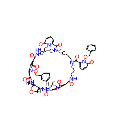 Cn1c(C(=O)N2CCCCN(C(=O)c3cccc(=O)n3OCc3ccccc3)CCCNC(=O)c3ccc(n(C)c3=O)C(=O)N[C@@H]3COC[C@@H]3NC(=O)c3ccc(c(=O)n3OCc3ccccc3)C(=O)NCCC2)cccc1=O